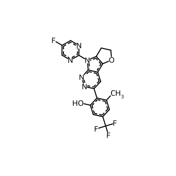 Cc1cc(C(F)(F)F)cc(O)c1-c1cc2c3c(n(-c4ncc(F)cn4)c2nn1)CCO3